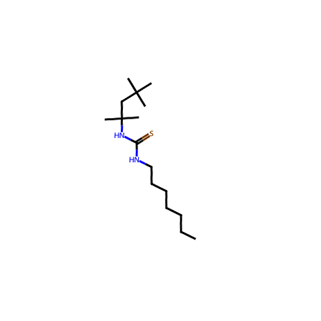 CCCCCCCNC(=S)NC(C)(C)CC(C)(C)C